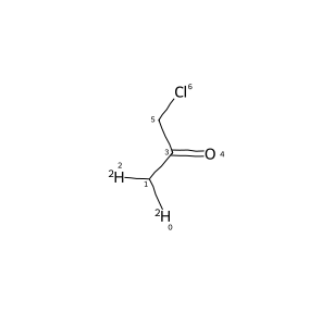 [2H]C([2H])C(=O)CCl